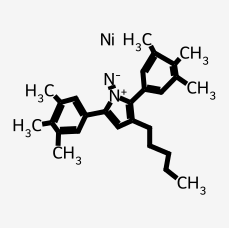 CCCCCC1=C(c2cc(C)c(C)c(C)c2)[N+](=[N-])C(c2cc(C)c(C)c(C)c2)=C1.[Ni]